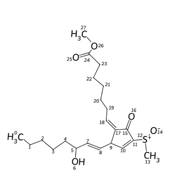 CCCCCC(O)C=CC1C=C([S+](C)[O-])C(=O)C1=CCCCCCC(=O)OC